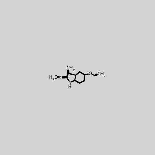 C=C=C1NC2CCC(OC=C)CC2C1=C